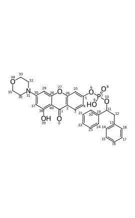 O=c1c2ccc(OP(=O)(O)OC(Cc3ccccc3)c3ccccc3)cc2oc2cc(N3CCOCC3)cc(O)c12